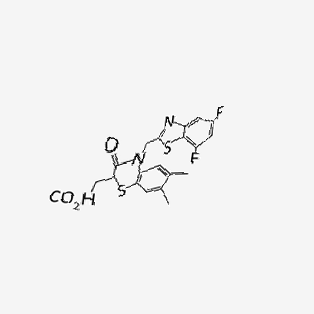 Cc1cc2c(cc1C)N(Cc1nc3cc(F)cc(F)c3s1)C(=O)C(CC(=O)O)S2